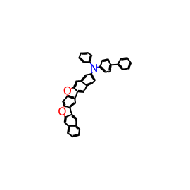 c1ccc(-c2ccc(N(c3ccccc3)c3ccc4cc5c(cc4c3)oc3cc4oc6cc7ccccc7cc6c4cc35)cc2)cc1